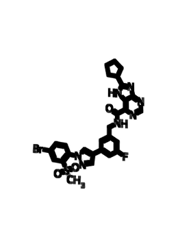 CS(=O)(=O)c1cc(Br)ccc1-n1cc(-c2cc(F)cc(CNC(=O)c3ncnc4nc(C5CCCC5)[nH]c34)c2)cn1